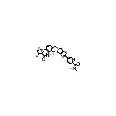 CNC(=O)c1ccc(-c2nc3c(s2)CN(Cc2ccc4c([nH]c(=O)c5c(F)cnn54)c2F)C3)cn1